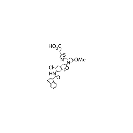 CO[C@H]1CC(c2ncc(CCC(=O)O)s2)N(C(=O)Cc2cc(Cl)c(NC(=O)c3csc4ccccc34)cc2F)C1